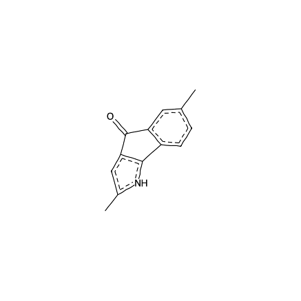 Cc1ccc2c(c1)C(=O)c1cc(C)[nH]c1-2